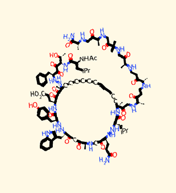 CC(=O)N[C@@H](CC(C)C)C(=O)N[C@H](C(=O)C(=O)[C@H](Cc1ccccc1)NN[C@]1(C)CCCCCC/C=C/CCC[C@@](C)(C(=O)CN[C@@H](C)C(=O)CCN[C@@H](C)C(=O)CCN[C@@H](C)C(=O)CNC(C)(C)C(=O)CN[C@@H](C)C(=O)CN[C@H](C)C(N)=O)NC(=O)[C@H](CC(C)C)NN[C@@H](CCC(N)=O)C(=O)CN[C@@H](C)C(=O)CC(=O)[C@H](Cc2c[nH]c3ccccc23)NN[C@@H](Cc2ccc(O)cc2)C(=O)N[C@@H](CCC(=O)O)C(=O)C1=O)[C@@H](C)O